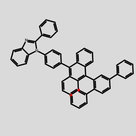 c1ccc(-c2ccc(-c3ccccc3)c(-c3c4ccccc4c(-c4ccc(-n5c(-c6ccccc6)nc6ccccc65)cc4)c4ccccc34)c2)cc1